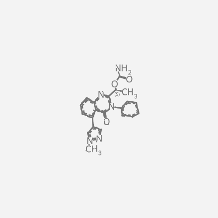 C[C@H](OC(N)=O)c1nc2cccc(-c3cnn(C)c3)c2c(=O)n1-c1ccccc1